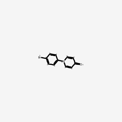 O=c1ccn(-c2ccc(Br)cc2)cc1